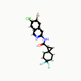 O=C(Nc1cc2cc(Br)c(Cl)cc2cn1)C1CC12CCC(F)(F)CC2